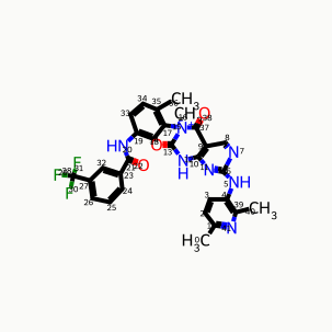 Cc1ccc(Nc2ncc3c(n2)NC(=O)[N+](C)(c2cc(NC(=O)c4cccc(C(F)(F)F)c4)ccc2C)C3=O)c(C)n1